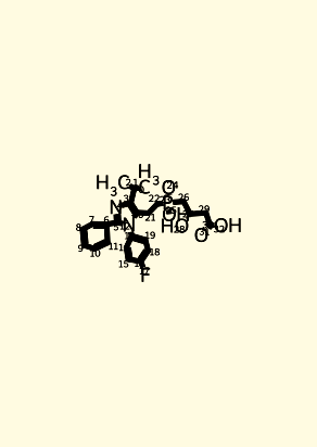 CC(C)c1nc(-c2ccccc2)n(-c2ccc(F)cc2)c1CCP(=O)(O)C[C@@H](O)CC(=O)O